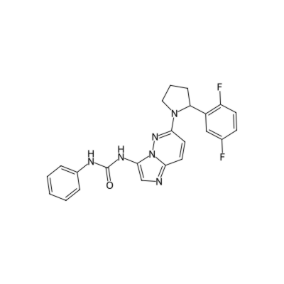 O=C(Nc1ccccc1)Nc1cnc2ccc(N3CCCC3c3cc(F)ccc3F)nn12